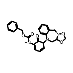 O=C(NC1=CC=CC(N2CC3OCON3Cc3ccccc32)C1=O)OCc1ccccc1